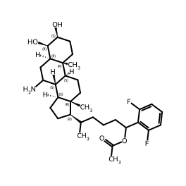 CC(=O)OC(CCCC(C)[C@H]1CC[C@H]2[C@@H]3C(N)C[C@H]4[C@@H](O)[C@@H](O)CC[C@]4(C)[C@H]3CC[C@]12C)c1c(F)cccc1F